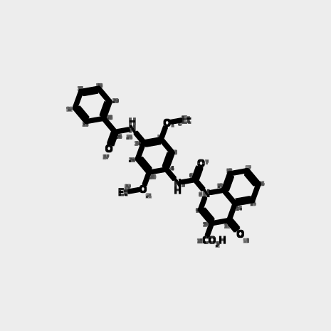 CCOc1cc(NC(=O)n2cc(C(=O)O)c(=O)c3ccccc32)c(OCC)cc1NC(=O)c1ccccc1